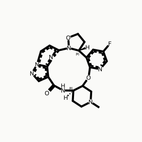 CN1CC[C@H]2NC(=O)c3cnn4ccc(nc34)N3OCC[C@@H]3c3cc(F)cnc3OC2C1